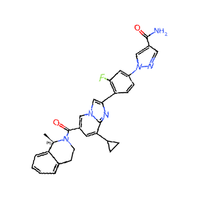 C[C@@H]1c2ccccc2CCN1C(=O)c1cc(C2CC2)c2nc(-c3ccc(-n4cc(C(N)=O)cn4)cc3F)cn2c1